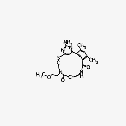 COCCN1CCSc2cc(nc(N)n2)-c2cc(c(C)cc2C)C(=O)NCCCC1=O